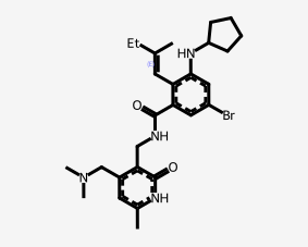 CC/C(C)=C/c1c(NC2CCCC2)cc(Br)cc1C(=O)NCc1c(CN(C)C)cc(C)[nH]c1=O